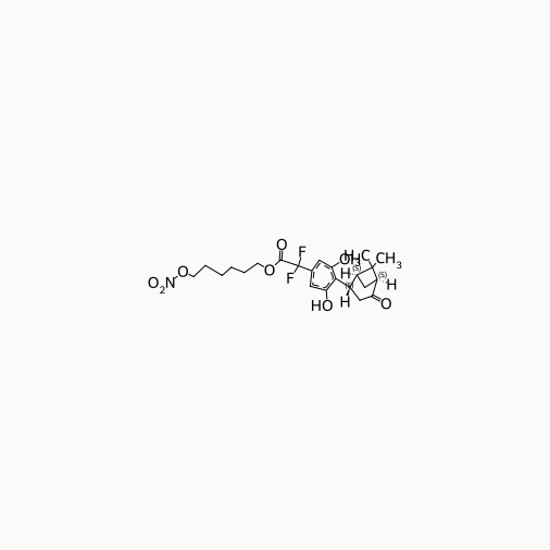 CC1(C)[C@@H]2C[C@H]1[C@@H](c1c(O)cc(C(F)(F)C(=O)OCCCCCCO[N+](=O)[O-])cc1O)CC2=O